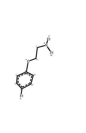 [CH2]Cc1ccc(OCCN(CC)CC)cc1